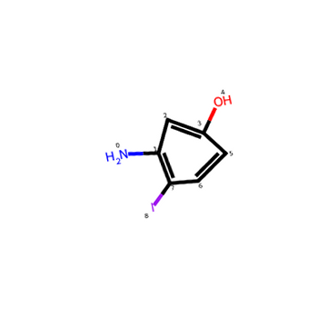 Nc1cc(O)ccc1I